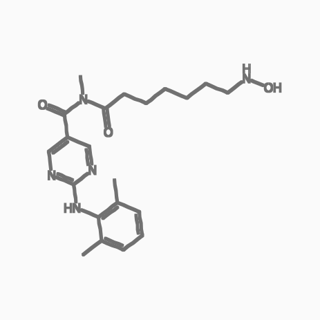 Cc1cccc(C)c1Nc1ncc(C(=O)N(C)C(=O)CCCCCCNO)cn1